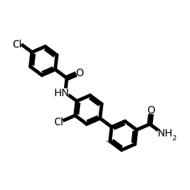 NC(=O)c1cc[c]c(-c2ccc(NC(=O)c3ccc(Cl)cc3)c(Cl)c2)c1